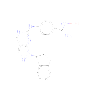 N=C(NO)c1ccc(Nc2ncc3cnn(C4CCc5ccccc54)c3n2)cc1